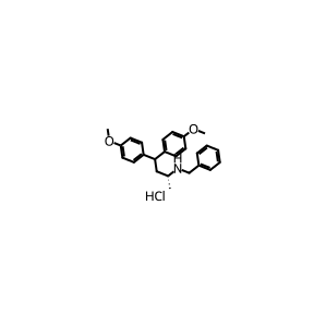 COc1ccc(C(C[C@@H](C)NCc2ccccc2)c2ccc(OC)cc2)cc1.Cl